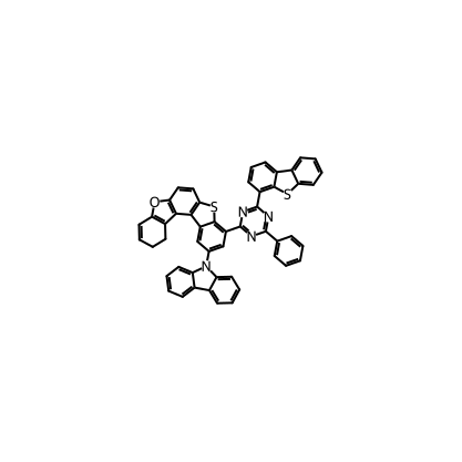 C1=Cc2oc3ccc4sc5c(-c6nc(-c7ccccc7)nc(-c7cccc8c7sc7ccccc78)n6)cc(-n6c7ccccc7c7ccccc76)cc5c4c3c2CC1